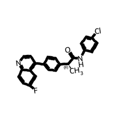 C[C@@H](C(=O)Nc1ccc(Cl)cc1)c1ccc(-c2ccnc3ccc(F)cc23)cc1